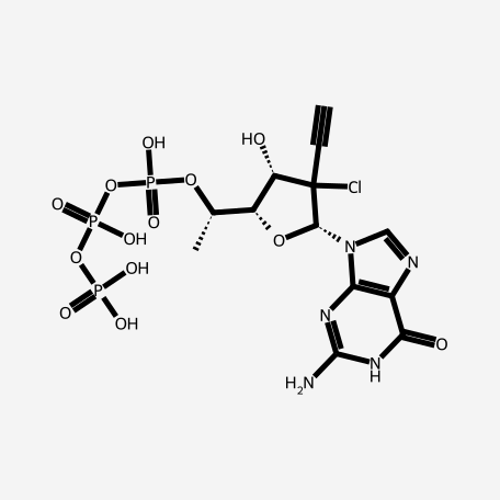 C#CC1(Cl)[C@@H](O)[C@@H]([C@H](C)OP(=O)(O)OP(=O)(O)OP(=O)(O)O)O[C@H]1n1cnc2c(=O)[nH]c(N)nc21